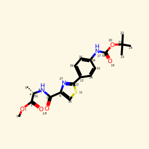 COC(=O)[C@H](C)NC(=O)c1csc(-c2ccc(NC(=O)OC(C)(C)C)cc2)n1